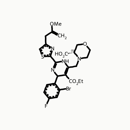 C=C(Cc1csc(C2=NC(c3ccc(F)cc3Br)C(C(=O)OCC)=C(CN3CCOC[C@H]3C(=O)O)N2)n1)OC